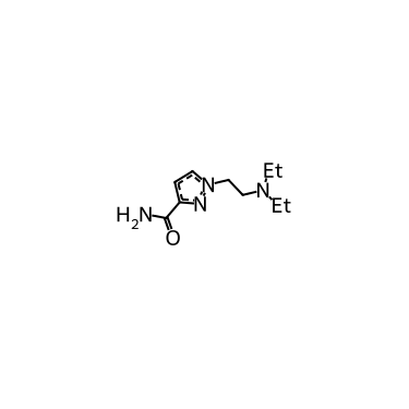 CCN(CC)CCn1ccc(C(N)=O)n1